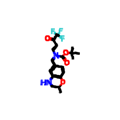 CC1CNc2cc(CN(CCC(=O)C(F)(F)F)C(=O)OC(C)(C)C)ccc2O1